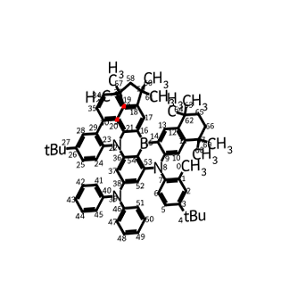 Cc1cc(C(C)(C)C)ccc1N1c2cc3c(cc2B2c4cc5c(cc4N(c4ccc(C(C)(C)C)cc4-c4ccccc4)c4cc(N(c6ccccc6)c6ccccc6)cc1c42)C(C)(C)CC5(C)C)C(C)(C)CCC3(C)C